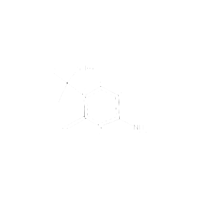 CCCCCCC(C)(C)n1ccc(N)nc1=O